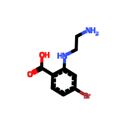 NCCNc1cc(Br)ccc1C(=O)O